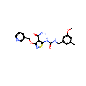 COc1cc(C)cc(CNC(=O)Nc2snc(OCc3cccnc3)c2C(N)=O)c1